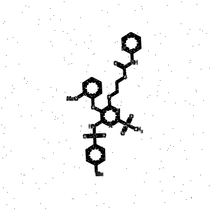 COc1ccccc1Oc1c(NS(=O)(=O)c2ccc(C(C)(C)C)cc2)nc(S(C)(=O)=O)nc1OCCOC(=O)Nc1ccccn1